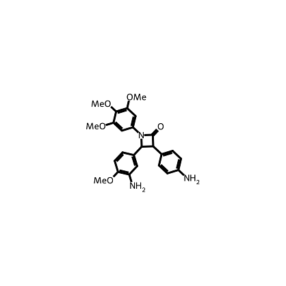 COc1ccc(C2C(c3ccc(N)cc3)C(=O)N2c2cc(OC)c(OC)c(OC)c2)cc1N